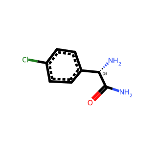 NC(=O)[C@@H](N)c1ccc(Cl)cc1